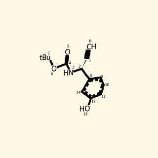 C#C[C@@H](NC(=O)OC(C)(C)C)c1cccc(O)c1